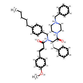 CCCCCc1ccc(CN(C(=O)/C=C/c2ccc(OC)cc2)[C@@H](Cc2ccccc2)C(=O)N2CCN(Cc3ccccc3)CC2)cc1